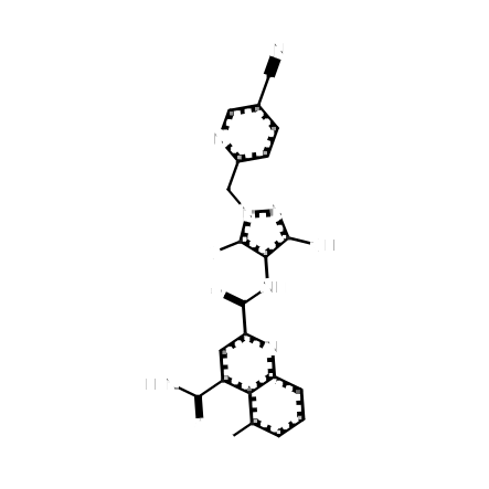 Cc1nn(Cc2ccc(C#N)cn2)c(C)c1NC(=O)c1cc(C(N)=O)c2c(F)cccc2n1